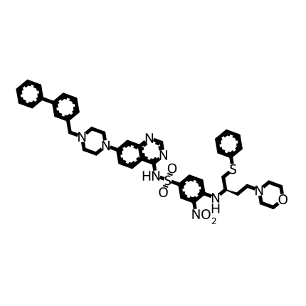 O=[N+]([O-])c1cc(S(=O)(=O)Nc2ncnc3cc(N4CCN(Cc5cccc(-c6ccccc6)c5)CC4)ccc23)ccc1N[C@H](CCN1CCOCC1)CSc1ccccc1